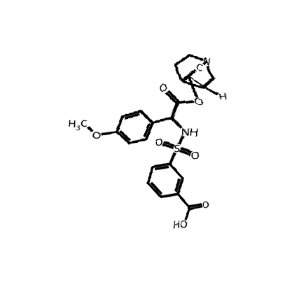 COc1ccc(C(NS(=O)(=O)c2cccc(C(=O)O)c2)C(=O)O[C@H]2CN3CCC2CC3)cc1